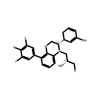 OC1=CC([C@H]2COc3c(-c4cc(F)c(F)c(F)c4)cccc3N2C[C@@H](O)CF)CC=C1